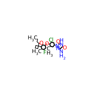 CCCC(=O)C1(c2cc(Oc3c(C)cc(-n4nc(N)c(=O)[nH]c4=O)cc3Cl)cc(F)c2C)CCC1